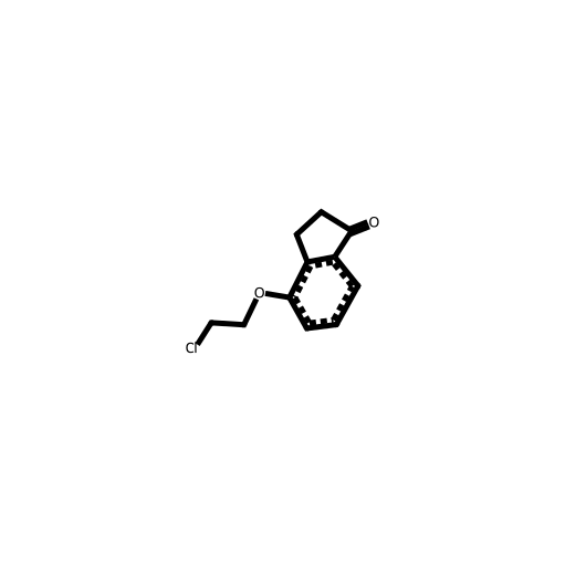 O=C1CCc2c(OCCCl)cccc21